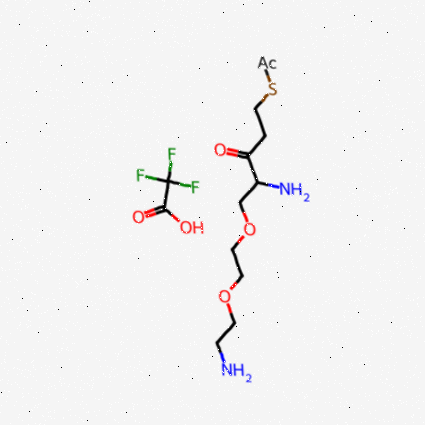 CC(=O)SCCC(=O)C(N)COCCOCCN.O=C(O)C(F)(F)F